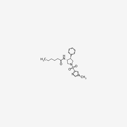 CCCCCC(=O)N[C@H]1CN(S(=O)(=O)c2cn(C)cn2)C[C@@H]1c1ccccc1